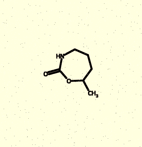 CC1CCCNC(=O)O1